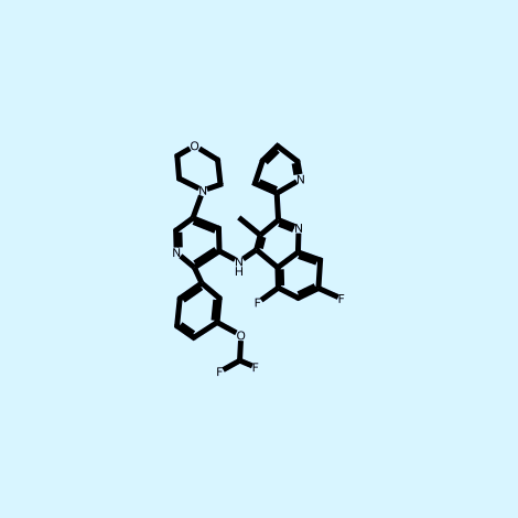 Cc1c(-c2ccccn2)nc2cc(F)cc(F)c2c1Nc1cc(N2CCOCC2)cnc1-c1cccc(OC(F)F)c1